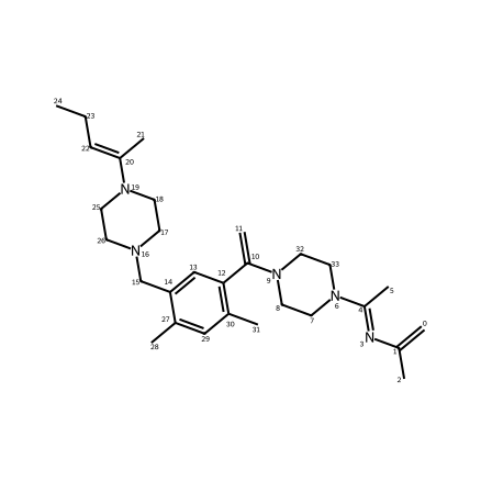 C=C(C)/N=C(\C)N1CCN(C(=C)c2cc(CN3CCN(/C(C)=C/CC)CC3)c(C)cc2C)CC1